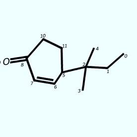 CCC(C)(C)C1C=CC(=O)CC1